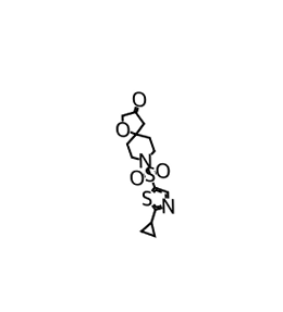 O=C1COC2(CCN(S(=O)(=O)c3cnc(C4CC4)s3)CC2)C1